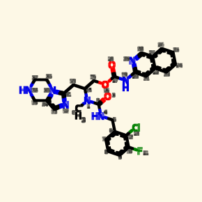 CN(C(=O)NCc1cccc(F)c1Cl)C(COC(=O)Nc1cc2ccccc2cn1)Cc1ncc2n1CCNC2